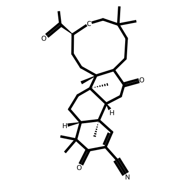 CC(=O)[C@H]1CCC(C)(C)CCC2C(=O)C[C@@H]3[C@@]4(C)C=C(C#N)C(=O)C(C)(C)[C@@H]4CC[C@@]3(C)[C@]2(C)CC1